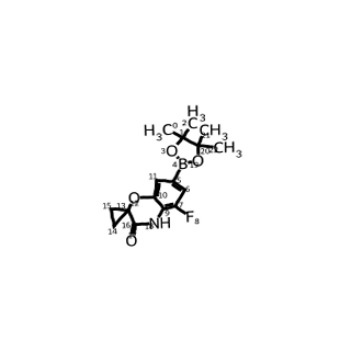 CC1(C)OB(c2cc(F)c3c(c2)OC2(CC2)C(=O)N3)OC1(C)C